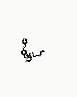 C/C=C\C=C/CCNC1CC[C@H](C)N(Cc2ccc(OCc3ccncc3)cc2)S1(=O)=O